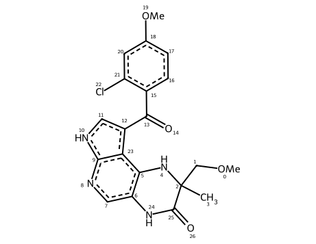 COCC1(C)Nc2c(cnc3[nH]cc(C(=O)c4ccc(OC)cc4Cl)c23)NC1=O